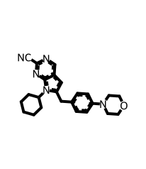 N#Cc1ncc2cc(Cc3ccc(N4CCOCC4)cc3)n(C3CCCCC3)c2n1